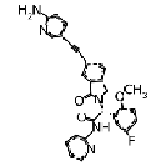 COc1ccc(F)cc1[C@H](C(=O)Nc1ccccn1)N1Cc2ccc(C#Cc3ccc(N)nc3)cc2C1=O